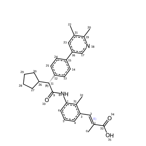 C/C(=C\c1cccc(NC(=O)[C@@H](c2ccc(-c3cnc(C)c(C)c3)cc2)C2CCCC2)c1C)C(=O)O